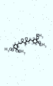 COc1ccc(/C=C/C(=O)C(F)C(=O)/C=C/c2ccc(OC)c(OC)c2)cc1OC